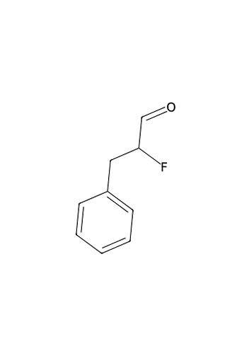 O=CC(F)Cc1ccccc1